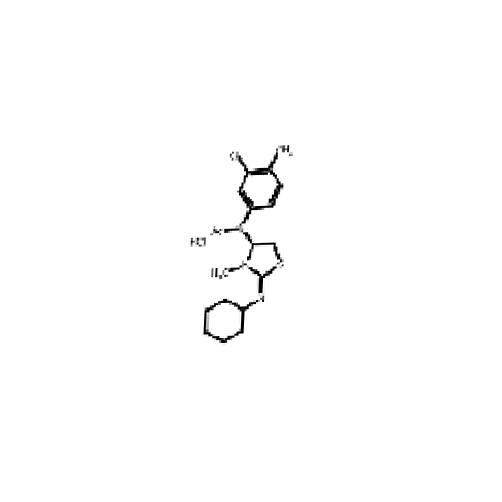 CC(=O)N(c1ccc(C)c(Cl)c1)C1CSC(=NC2CCCCC2)N1C.Cl